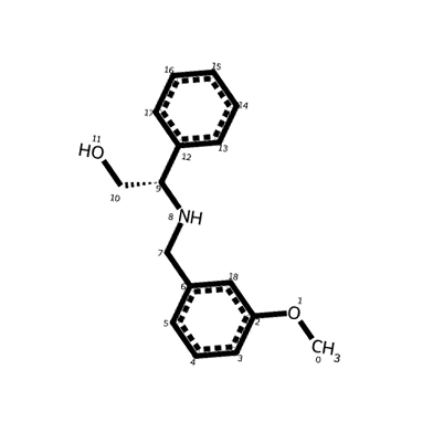 COc1cccc(CN[C@H](CO)c2ccccc2)c1